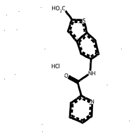 Cl.O=C(Nc1ccc2sc(C(=O)O)cc2c1)c1ccccn1